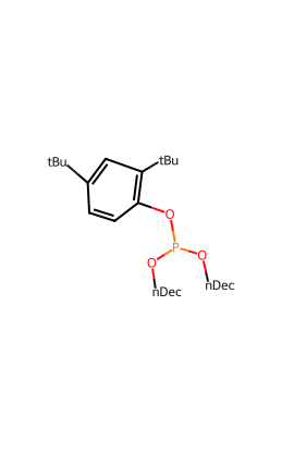 CCCCCCCCCCOP(OCCCCCCCCCC)Oc1ccc(C(C)(C)C)cc1C(C)(C)C